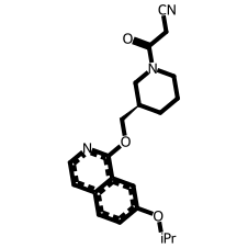 CC(C)Oc1ccc2ccnc(OC[C@@H]3CCCN(C(=O)CC#N)C3)c2c1